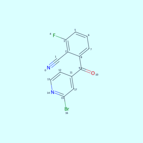 N#Cc1c(F)cccc1C(=O)c1ccnc(Br)c1